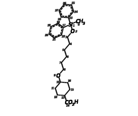 C[Si](OCCCCCCOC1CCC(C(=O)O)CC1)(c1ccccc1)c1ccccc1